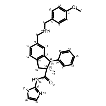 COc1ccc(CNCc2ccc3c(c2)[C@@H](c2ccccc2)[C@@](C)(C(=O)Nc2nccs2)C3)cc1